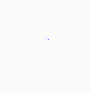 Cl.Cl.NC(c1ccc(C(F)(F)F)cc1)c1ncccc1F